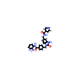 Nc1ccccc1NC(=O)c1ccc(Cn2c(=O)[nH]c3cc(CNC(=O)c4ccncc4)ccc32)cc1